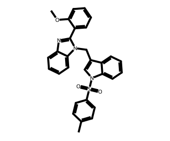 COc1ccccc1-c1nc2ccccc2n1Cc1cn(S(=O)(=O)c2ccc(C)cc2)c2ccccc12